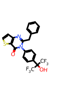 O=c1c2sccc2nc(Cc2ccccc2)n1-c1ccc(C(O)(C(F)(F)F)C(F)(F)F)cc1